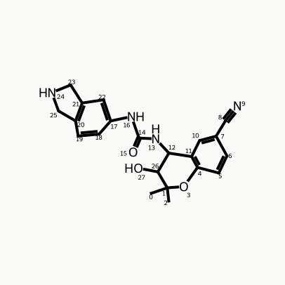 CC1(C)Oc2ccc(C#N)cc2C(NC(=O)Nc2ccc3c(c2)CNC3)C1O